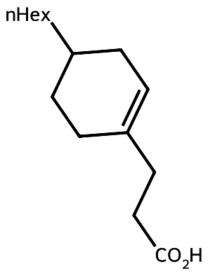 CCCCCCC1CC=C(CCC(=O)O)CC1